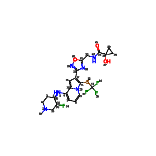 CN1CC[C@@H](Nc2cccn3c(SC(F)(F)F)c(-c4noc(CNC(=O)C5(O)CC5)n4)cc23)[C@@H](F)C1